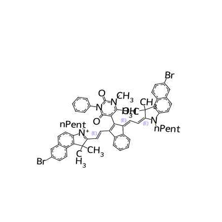 CCCCCN1/C(=C/C=C2C(c3c(O)n(C)c(=O)n(-c4ccccc4)c3=O)=C(/C=C/C3=[N+](CCCCC)c4ccc5cc(Br)ccc5c4C3(C)C)c3ccccc3/2)C(C)(C)c2c1ccc1cc(Br)ccc21